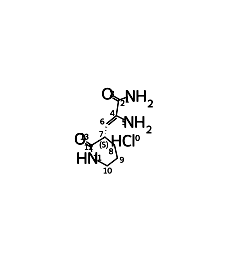 Cl.NC(=O)C(N)=C[C@@H]1CCCNC1=O